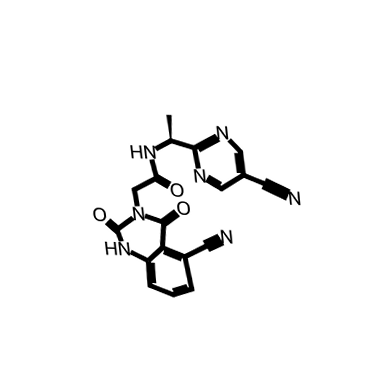 C[C@H](NC(=O)Cn1c(=O)[nH]c2cccc(C#N)c2c1=O)c1ncc(C#N)cn1